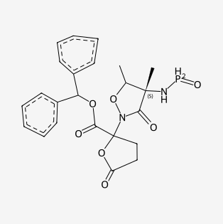 CC1ON(C2(C(=O)OC(c3ccccc3)c3ccccc3)CCC(=O)O2)C(=O)[C@@]1(C)N[PH2]=O